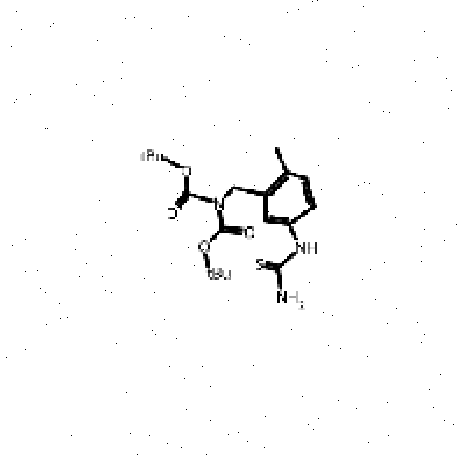 Cc1ccc(NC(N)=S)cc1CN(C(=O)OC(C)(C)C)C(=O)OC(C)(C)C